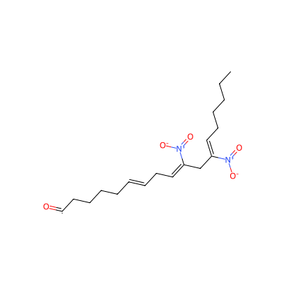 CCCCC/C=C(/C/C(=C/C/C=C/CCCC[C]=O)[N+](=O)[O-])[N+](=O)[O-]